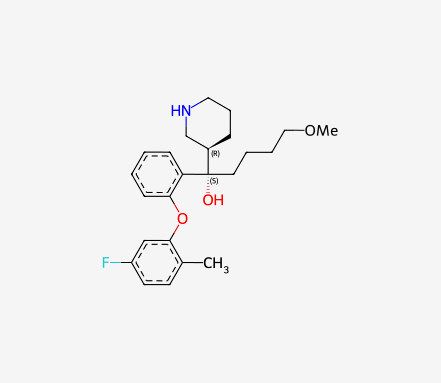 COCCCC[C@@](O)(c1ccccc1Oc1cc(F)ccc1C)[C@@H]1CCCNC1